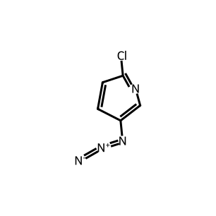 [N-]=[N+]=Nc1ccc(Cl)nc1